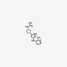 Cc1nnccc1Nc1cc(C2CC[C@H](NC(=O)O)C2)[nH]n1